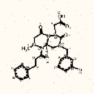 CN1CC(=O)N2[C@@H](CC(=O)O)C(=O)N(Cc3cccc(Br)c3)C[C@@H]2N1C(=O)CCc1ccccc1